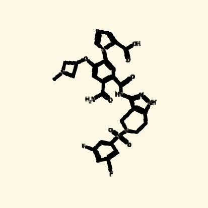 CN1CC(Oc2cc(C(N)=O)c(C(=O)Nc3n[nH]c4c3CN(S(=O)(=O)c3cc(F)cc(F)c3)CC4)cc2-n2cccc2C(=O)O)C1